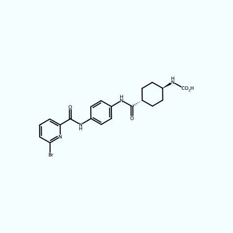 O=C(O)N[C@H]1CC[C@H](C(=O)Nc2ccc(NC(=O)c3cccc(Br)n3)cc2)CC1